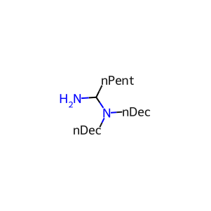 CCCCCCCCCCN(CCCCCCCCCC)C(N)CCCCC